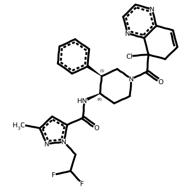 Cc1cc(C(=O)N[C@@H]2CCN(C(=O)C3(Cl)CC=Cc4nccnc43)C[C@@H]2c2ccccc2)n(CC(F)F)n1